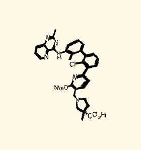 COc1nc(-c2cccc(-c3cccc(Nc4nc(C)nc5cccnc45)c3C)c2Cl)ccc1CN1CC[C@@](C)(C(=O)O)C1